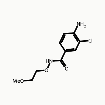 COCCONC(=O)c1ccc(N)c(Cl)c1